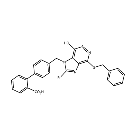 CC(C)c1nc2c(SCc3ccccc3)nnc(O)c2n1Cc1ccc(-c2ccccc2C(=O)O)cc1